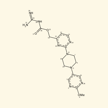 COc1ncc(N2CCN(c3nccc(COC(=O)NC(=N)N)n3)CC2)cn1